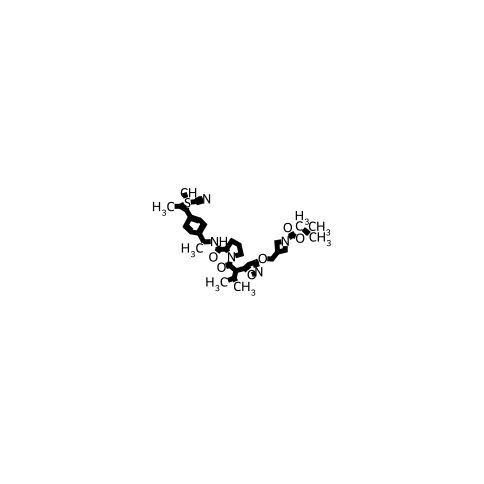 CC1=C(c2ccc(C(C)NC(=O)C3CCCN3C(=O)C(c3cc(OCC4CN(C(=O)OC(C)(C)C)C4)no3)C(C)C)cc2)S1(C)C#N